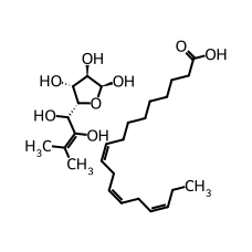 CC(C)=C(O)C(O)[C@H]1O[C@H](O)[C@H](O)[C@H]1O.CC/C=C\C/C=C\C/C=C\CCCCCCCC(=O)O